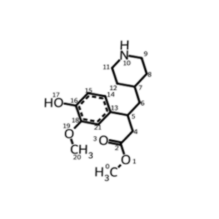 COC(=O)CC(CC1CCNCC1)c1ccc(O)c(OC)c1